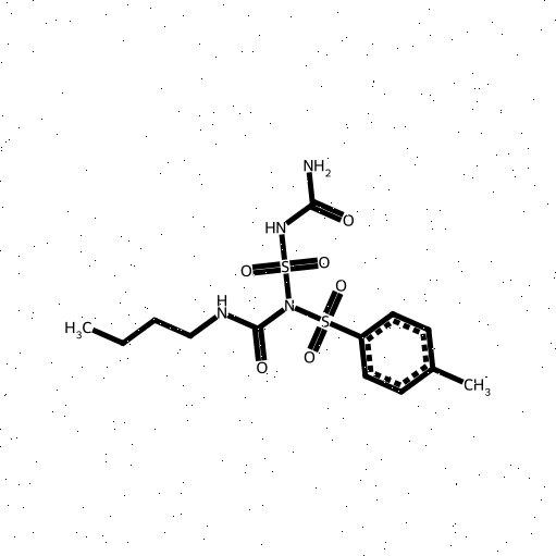 CCCCNC(=O)N(S(=O)(=O)NC(N)=O)S(=O)(=O)c1ccc(C)cc1